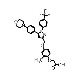 Cc1cc(OCc2cc(-c3ccc(N4CCOCC4)cc3)n(-c3ccc(C(F)(F)F)cc3)n2)ccc1OCC(=O)O